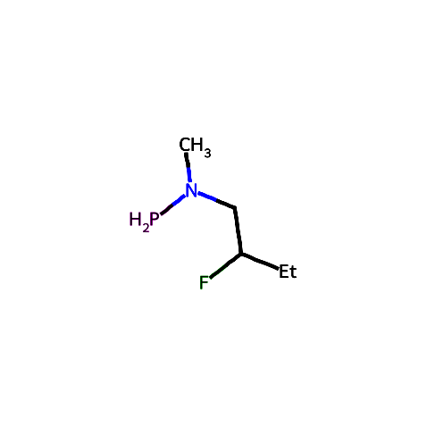 CCC(F)CN(C)P